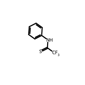 FC(F)(F)C(=S)Nc1ccccc1